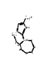 O=C(O)c1csc(N2CCCCCC2CO)n1